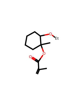 C=C(C)C(=O)OC1(C)CCCCC1OCC